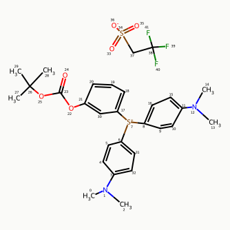 CN(C)c1ccc([S+](c2ccc(N(C)C)cc2)c2cccc(OC(=O)OC(C)(C)C)c2)cc1.O=S(=O)([O-])CC(F)(F)F